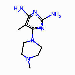 Cc1c(N)nc(N)nc1N1CCN(C)CC1